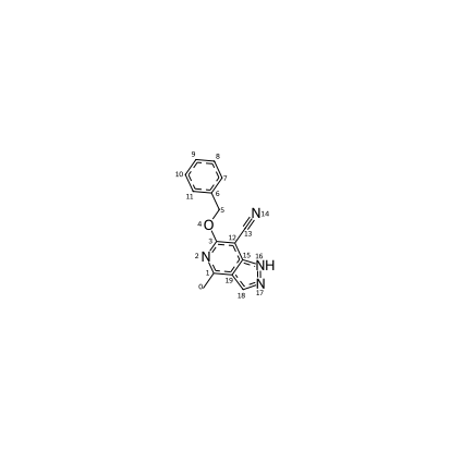 Cc1nc(OCc2ccccc2)c(C#N)c2[nH]ncc12